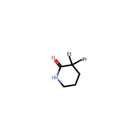 CCC1(C(C)C)CCCNC1=O